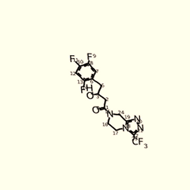 O=C(CC(O)Cc1cc(F)c(F)cc1F)N1CCn2c(nnc2C(F)(F)F)C1